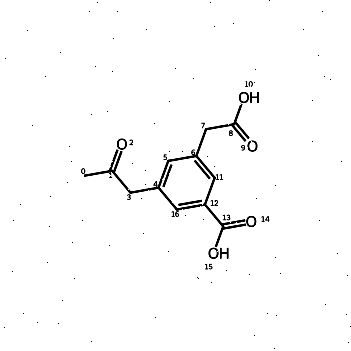 CC(=O)Cc1cc(CC(=O)O)cc(C(=O)O)c1